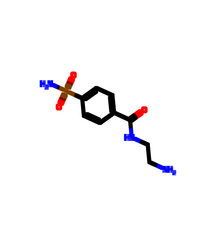 NCCNC(=O)c1ccc(S(N)(=O)=O)cc1